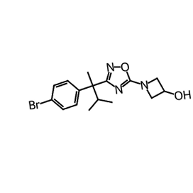 CC(C)C(C)(c1ccc(Br)cc1)c1noc(N2CC(O)C2)n1